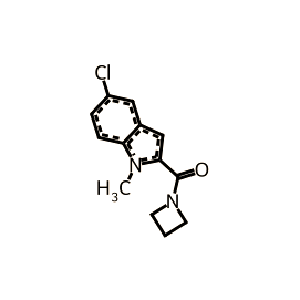 Cn1c(C(=O)N2CCC2)cc2cc(Cl)ccc21